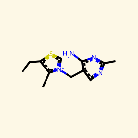 CCc1sc[n+](Cc2cnc(C)nc2N)c1C